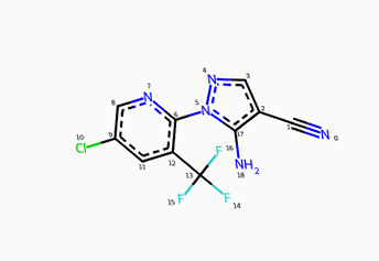 N#Cc1cnn(-c2ncc(Cl)cc2C(F)(F)F)c1N